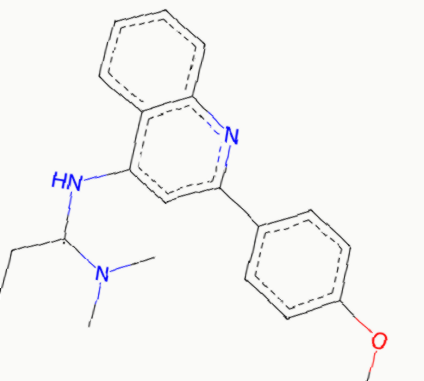 CC[C](Nc1cc(-c2ccc(OC)cc2)nc2ccccc12)N(C)C